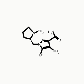 CCc1c(N)c(C(N)=O)nn1C[C@H]1CCCN1C